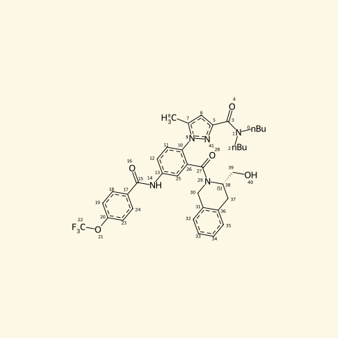 CCCCN(CCCC)C(=O)c1cc(C)n(-c2ccc(NC(=O)c3ccc(OC(F)(F)F)cc3)cc2C(=O)N2Cc3ccccc3C[C@H]2CO)n1